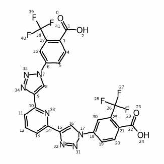 O=C(O)c1ccc(-n2cc(-c3cccc(-c4cn(-c5ccc(C(=O)O)c(C(F)(F)F)c5)nn4)n3)nn2)cc1C(F)(F)F